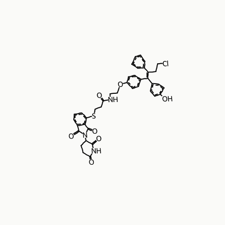 O=C(CCSc1cccc2c1C(=O)N(C1CCC(=O)NC1=O)C2=O)NCCOc1ccc(C(=C(CCCl)c2ccccc2)c2ccc(O)cc2)cc1